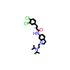 CC(C)N(CCN1CCc2ccc(NC(=O)/C=C/c3ccc(Cl)c(Cl)c3)cc21)C(C)C